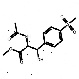 COC(=O)[C@@H](NC(C)=O)[C@H](O)c1ccc(S(C)(=O)=O)cc1